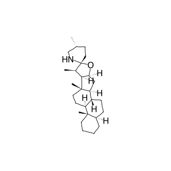 C[C@@H]1CC[C@@]2(NC1)O[C@H]1C[C@H]3[C@@H]4CC[C@H]5CCCC[C@]5(C)[C@H]4CC[C@]3(C)[C@H]1[C@H]2C